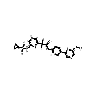 CCOc1cncc(-c2ccc(NC(=O)C(C)(C)c3cncc(NS(=O)(=O)C4CC4)n3)nc2)n1